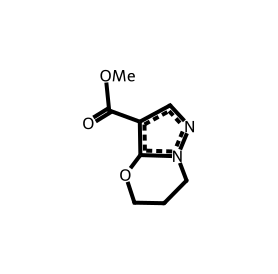 COC(=O)c1cnn2c1OCCC2